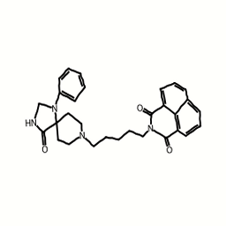 O=C1c2cccc3cccc(c23)C(=O)N1CCCCCN1CCC2(CC1)C(=O)NCN2c1ccccc1